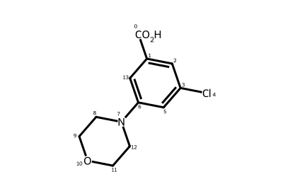 O=C(O)c1cc(Cl)cc(N2CCOCC2)c1